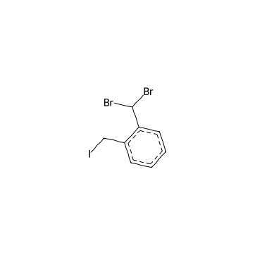 BrC(Br)c1ccccc1CI